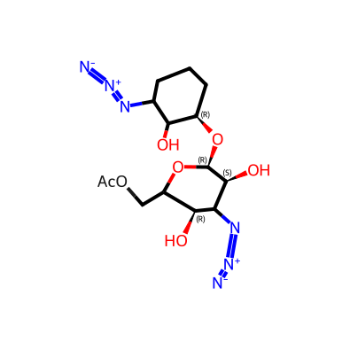 CC(=O)OCC1O[C@@H](O[C@@H]2CCCC(N=[N+]=[N-])C2O)[C@@H](O)C(N=[N+]=[N-])[C@H]1O